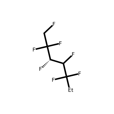 [CH2]CC(F)(F)C(F)[C@H](F)C(F)(F)CF